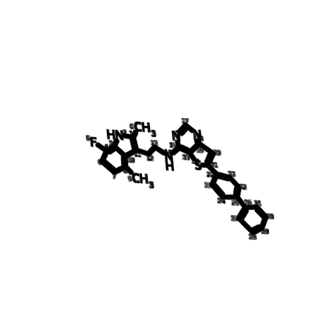 Cc1[nH]c2c(F)ccc(C)c2c1CCNc1ncnc2cc(-c3ccc(-c4ccccc4)cc3)sc12